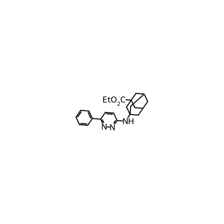 CCOC(=O)C12CC3CC(CC(Nc4ccc(-c5ccccc5)nn4)(C3)C1)C2